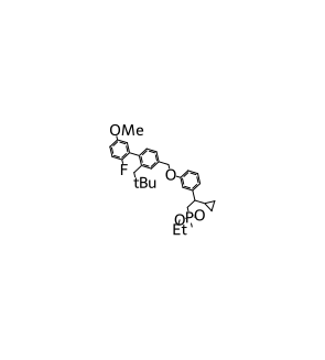 CCOP(C)(=O)CC(c1cccc(OCc2ccc(-c3cc(OC)ccc3F)c(CC(C)(C)C)c2)c1)C1CC1